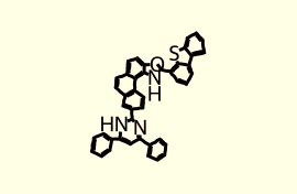 C1=C(c2ccccc2)NC(c2ccc3c(ccc4ccc5c(c43)NC(c3cccc4c3sc3ccccc34)O5)c2)N=C1c1ccccc1